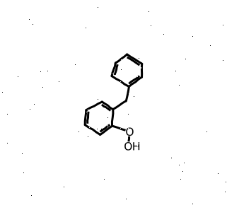 OOc1ccccc1Cc1ccccc1